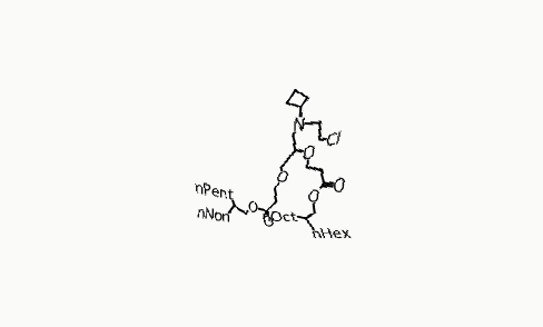 CCCCCCCCCC(CCCCC)COC(=O)CCOCC(CN(CCCl)C1CCC1)OCCC(=O)OCC(CCCCCC)CCCCCCCC